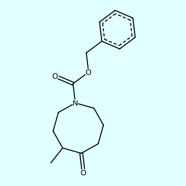 CC1CCN(C(=O)OCc2ccccc2)CCCC1=O